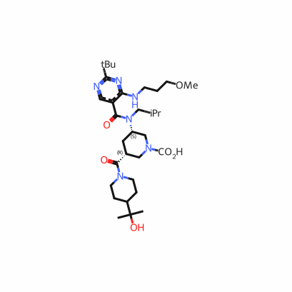 COCCCNc1nc(C(C)(C)C)ncc1C(=O)N(CC(C)C)[C@H]1C[C@@H](C(=O)N2CCC(C(C)(C)O)CC2)CN(C(=O)O)C1